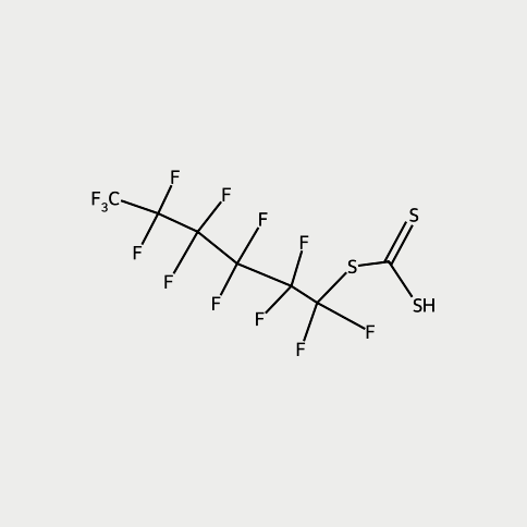 FC(F)(F)C(F)(F)C(F)(F)C(F)(F)C(F)(F)C(F)(F)SC(=S)S